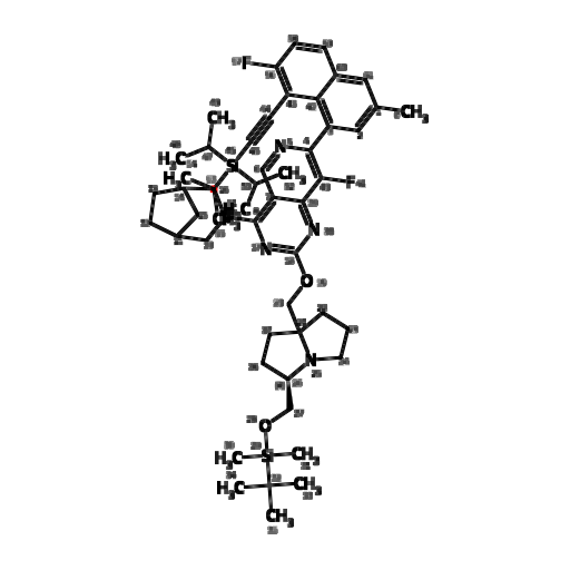 Cc1cc(-c2ncc3c(N4CC5CCC(C5)C4)nc(OCC45CCCN4[C@@H](CO[Si](C)(C)C(C)(C)C)CC5)nc3c2F)c2c(C#C[Si](C(C)C)(C(C)C)C(C)C)c(F)ccc2c1